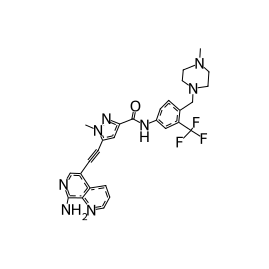 CN1CCN(Cc2ccc(NC(=O)c3cc(C#Cc4cnc(N)c5ncccc45)n(C)n3)cc2C(F)(F)F)CC1